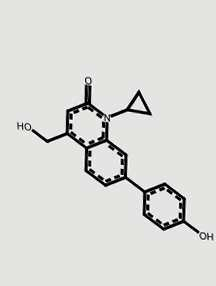 O=c1cc(CO)c2ccc(-c3ccc(O)cc3)cc2n1C1CC1